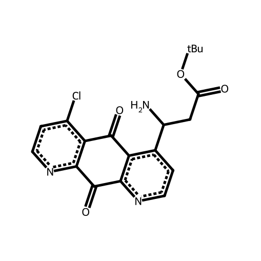 CC(C)(C)OC(=O)CC(N)c1ccnc2c1C(=O)c1c(Cl)ccnc1C2=O